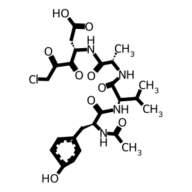 CC(=O)N[C@@H](Cc1ccc(O)cc1)C(=O)N[C@H](C(=O)N[C@@H](C)C(=O)N[C@@H](CC(=O)O)C(=O)C(=O)CCl)C(C)C